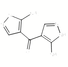 Nc1[nH]ncc1C(=O)c1cn[nH]c1N